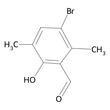 Cc1cc(Br)c(C)c(C=O)c1O